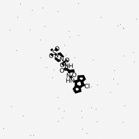 CS(=O)(=O)N1CCN(S(=O)(=O)NC(=O)c2coc(Nc3c4c(c(Cl)c5c3CCC5)CCC4)n2)CC1